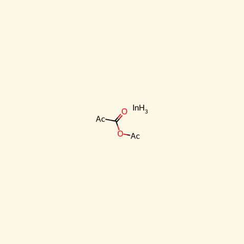 CC(=O)OC(=O)C(C)=O.[InH3]